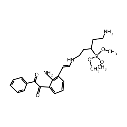 CO[Si](OC)(OC)C(CCN)CCNC=Cc1cccc(C(=O)C(=O)c2ccccc2)c1N